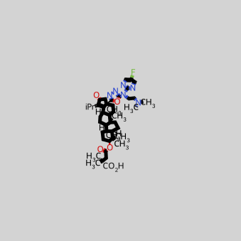 CC(C)C1=C2[C@H]3CC[C@@H]4[C@@]5(C)CC[C@H](OC(=O)CC(C)(C)C(=O)O)C(C)(C)[C@@H]5CC[C@@]4(C)[C@]3(C)CC[C@@]2(c2nnc(N(CCN(C)C)c3ncc(F)cn3)o2)CC1=O